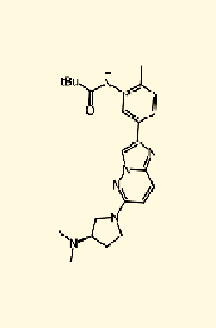 Cc1ccc(-c2cn3nc(N4CC[C@@H](N(C)C)C4)ccc3n2)cc1NC(=O)C(C)(C)C